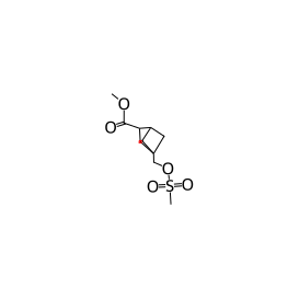 COC(=O)C1CC2(COS(C)(=O)=O)CC1C2